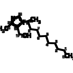 CCCCCCCCCC(C)n1cnc(C)c1CO